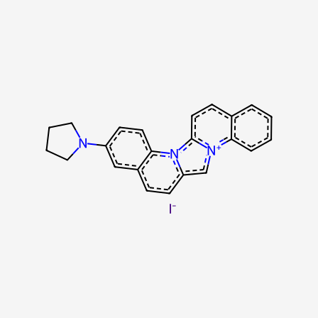 [I-].c1ccc2c(c1)ccc1n3c(ccc4cc(N5CCCC5)ccc43)c[n+]21